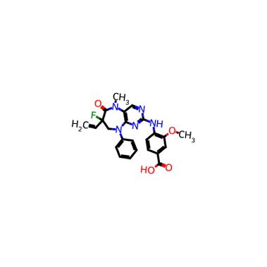 C=CC1(F)CN(c2ccccc2)c2nc(Nc3ccc(C(=O)O)cc3OC)ncc2N(C)C1=O